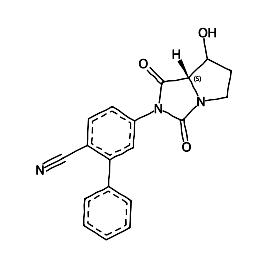 N#Cc1ccc(N2C(=O)[C@@H]3C(O)CCN3C2=O)cc1-c1ccccc1